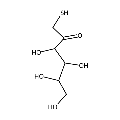 O=C(CS)C(O)C(O)C(O)CO